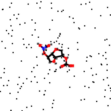 O=C(O)OC1COC2C(O[N+](=O)[O-])COC12